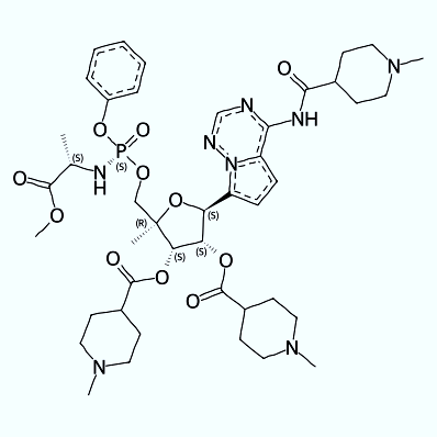 COC(=O)[C@H](C)N[P@](=O)(OC[C@@]1(C)O[C@@H](c2ccc3c(NC(=O)C4CCN(C)CC4)ncnn23)[C@H](OC(=O)C2CCN(C)CC2)[C@@H]1OC(=O)C1CCN(C)CC1)Oc1ccccc1